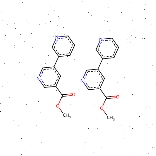 COC(=O)c1cncc(-c2cccnc2)c1.COC(=O)c1cncc(-c2cccnc2)c1